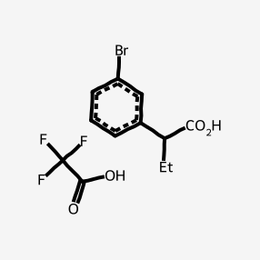 CCC(C(=O)O)c1cccc(Br)c1.O=C(O)C(F)(F)F